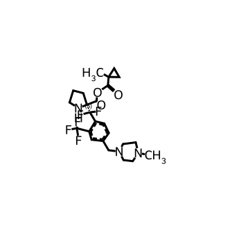 CN1CCN(Cc2ccc(C(F)(F)[C@@]3(C(=O)OC(=O)C4(C)CC4)CCCN3)c(C(F)(F)F)c2)CC1